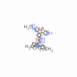 CCNc1ccc(C(=O)C(c2cccc(NC(=O)Nc3cc(C(C)(C)C)nn3-c3ccc(C)cc3)c2)C2CCNCC2)cc1